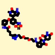 CCS(=O)(=O)Nc1ccc(Oc2cccc(NC(=O)CCCc3cn(CCOCCOCCNc4cccc5c4C(=O)N(C4CCC(=O)NC4=O)C5=O)nn3)c2)c(-c2cn(C)c(=O)c3[nH]ccc23)c1